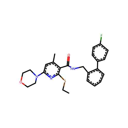 CCSc1nc(N2CCOCC2)cc(C)c1C(=O)NCc1ccccc1-c1ccc(F)cc1